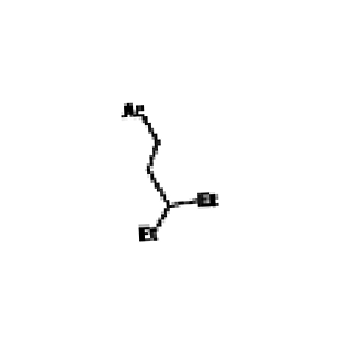 [CH2]C(=O)CCC(CC)CC